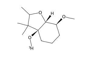 [3H]O[C@]12CCC[C@H](OC)[C@H]1OC(C)C2(C)C